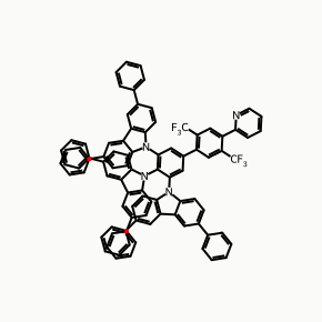 FC(F)(F)c1cc(-c2ccccn2)c(C(F)(F)F)cc1-c1cc(-n2c3ccc(-c4ccccc4)cc3c3cc(-c4ccccc4)ccc32)c(-n2c3ccc(-c4ccccc4)cc3c3cc(-c4ccccc4)ccc32)c(-n2c3ccc(-c4ccccc4)cc3c3cc(-c4ccccc4)ccc32)c1